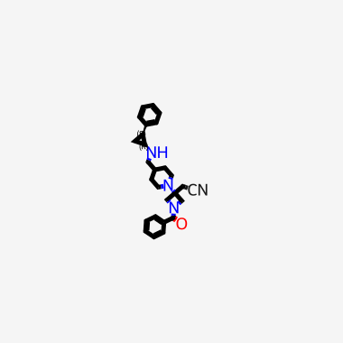 N#CCC1(N2CCC(CN[C@@H]3C[C@H]3c3ccccc3)CC2)CN(C(=O)c2ccccc2)C1